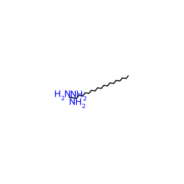 CCCCCCCCCCCCCCCCCCC(N)(N)CN